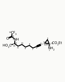 CCOC(=O)[C@@]1(N)C[C@H]1C#CCCCCC[C@H](NC(=O)C(F)(F)F)C(=O)O